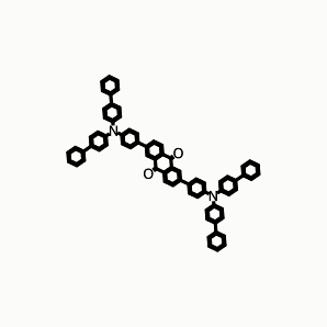 O=C1c2ccc(-c3ccc(N(c4ccc(-c5ccccc5)cc4)c4ccc(-c5ccccc5)cc4)cc3)cc2C(=O)c2ccc(-c3ccc(N(c4ccc(-c5ccccc5)cc4)c4ccc(-c5ccccc5)cc4)cc3)cc21